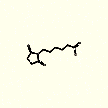 O=C(Cl)CCCCCN1C(=O)CCC1=O